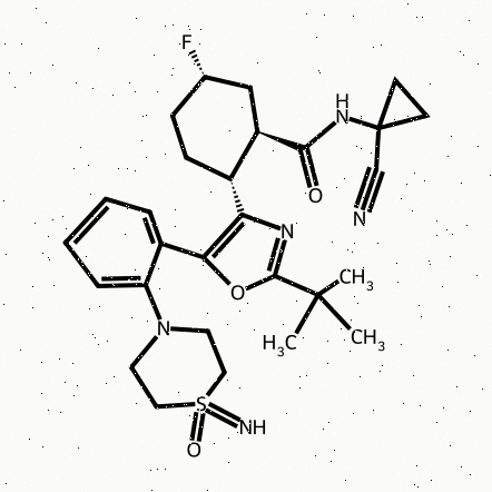 CC(C)(C)c1nc([C@@H]2CC[C@H](F)C[C@H]2C(=O)NC2(C#N)CC2)c(-c2ccccc2N2CCS(=N)(=O)CC2)o1